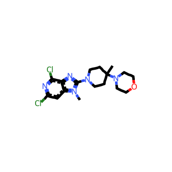 Cn1c(N2CCC(C)(N3CCOCC3)CC2)nc2c(Cl)nc(Cl)cc21